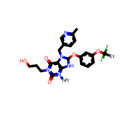 CCCn1c2c(c(=O)n(CCCO)c1=O)N(Cc1ccc(C)nc1)C(Oc1cccc(OC(F)(F)CC)c1)N2